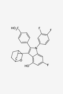 O=C(O)c1ccc(-c2c(C3CC4CCC3CO4)c3c(O)cc(F)cc3n2-c2ccc(F)c(F)c2)cc1